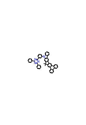 CC1(C)c2cc3c4ccccc4c4ccccc4c3cc2-c2cc3c4ccccc4n(-c4cccc(-c5nc(-c6ccccc6)nc(-c6ccccc6)n5)c4)c3cc21